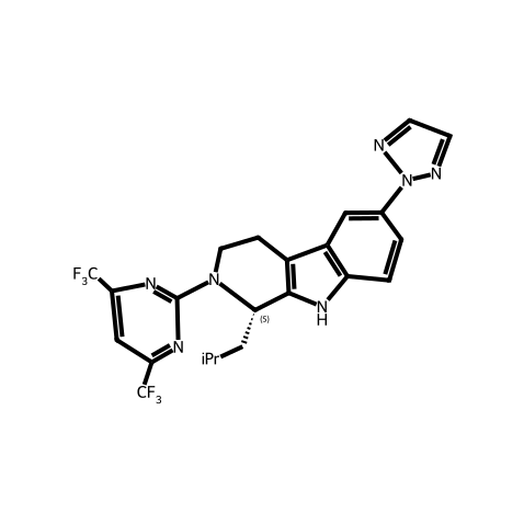 CC(C)C[C@H]1c2[nH]c3ccc(-n4nccn4)cc3c2CCN1c1nc(C(F)(F)F)cc(C(F)(F)F)n1